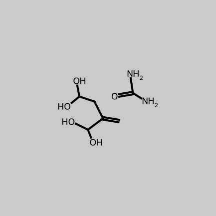 C=C(CC(O)O)C(O)O.NC(N)=O